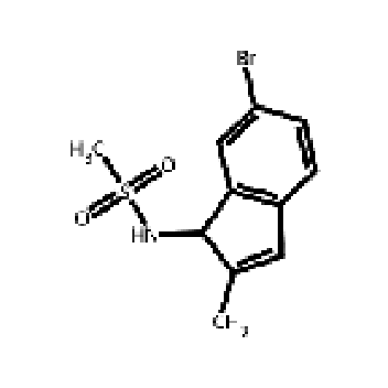 CC1=Cc2ccc(Br)cc2C1NS(C)(=O)=O